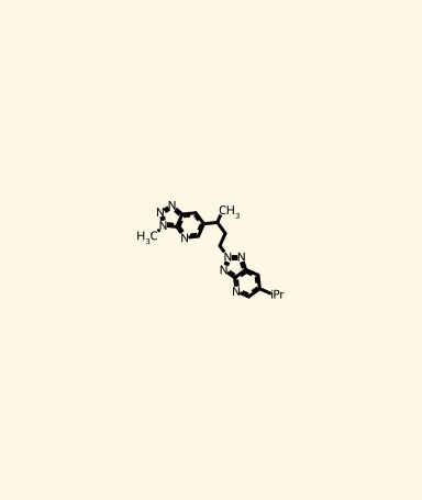 CC(C)c1cnc2nn(CCC(C)c3cnc4c(c3)nnn4C)nc2c1